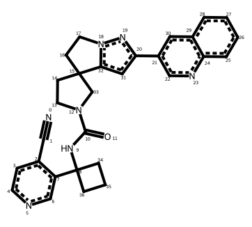 N#Cc1ccncc1C1(NC(=O)N2CCC3(CCn4nc(-c5cnc6ccccc6c5)cc43)C2)CCC1